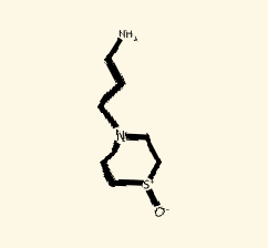 NCCCN1CC[S+]([O-])CC1